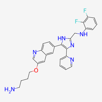 NCCCCOc1cnc2ccc(-c3[nH]c(CNc4cccc(F)c4F)nc3-c3ccccn3)cc2c1